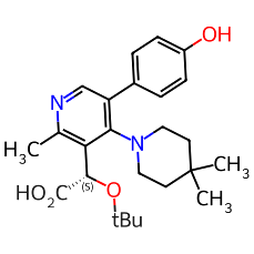 Cc1ncc(-c2ccc(O)cc2)c(N2CCC(C)(C)CC2)c1[C@H](OC(C)(C)C)C(=O)O